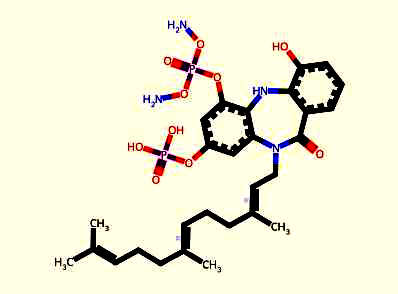 CC(C)=CCC/C(C)=C/CC/C(C)=C/CN1C(=O)c2cccc(O)c2Nc2c(OP(=O)(ON)ON)cc(OP(=O)(O)O)cc21